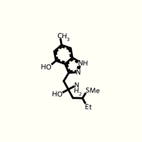 CCC(CC(N)(O)Cc1n[nH]c2cc(C)cc(O)c12)SC